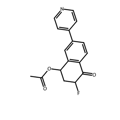 CC(=O)OC1CC(F)C(=O)c2ccc(-c3ccncc3)cc21